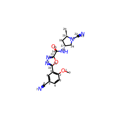 COc1ccc(C#N)cc1-c1nnc(C(=O)N[C@@H]2C[C@@H](C)N(C#N)C2)o1